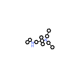 c1ccc(-c2ccc(N(c3ccc(-c4ccccc4)cc3)c3c4ccccc4c(-c4ccc(Nc5cccc6ccccc56)cc4)c4ccccc34)cc2)cc1